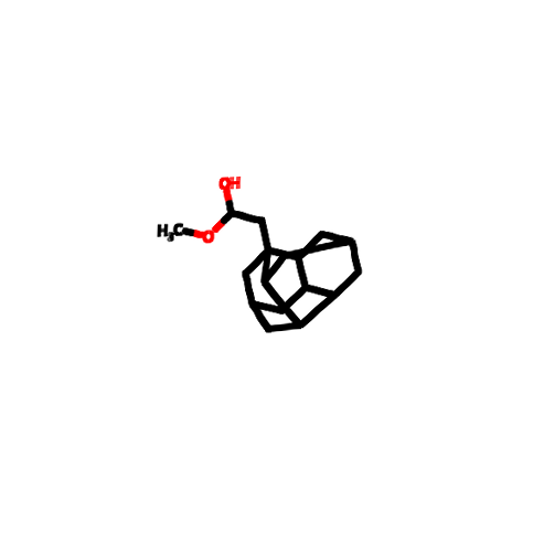 COC(O)CC12CC3CC4C5CC(CC41)CC2C5C3